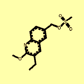 CCc1cc2cc(COS(C)(=O)=O)ccc2nc1OC